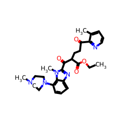 CCOC(=O)C(CCC(=O)c1ncccc1C)C(=O)c1nc2cccc(N3CCN(C)CC3)c2n1C